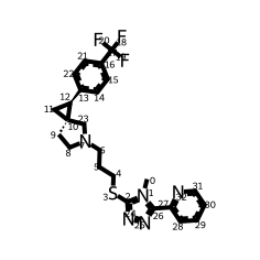 Cn1c(SCCCN2CC[C@@]3(C[C@H]3c3ccc(C(F)(F)F)cc3)C2)nnc1-c1ccccn1